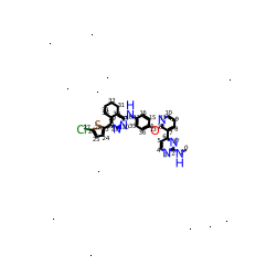 CNc1nccc(-c2cccnc2Oc2ccc(Nc3nnc(-c4ccc(Cl)s4)c4c3CCCC4)cc2)n1